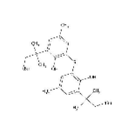 Cc1cc(Sc2cc(C)cc(C(C)(C)CC(C)(C)C)c2O)c(O)c(C(C)(C)CC(C)(C)C)c1